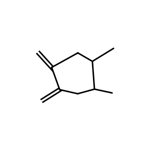 C=C1CC(C)C(C)CC1=C